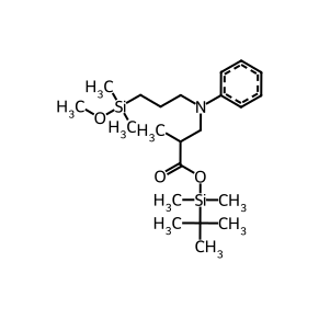 CO[Si](C)(C)CCCN(CC(C)C(=O)O[Si](C)(C)C(C)(C)C)c1ccccc1